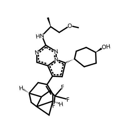 COC[C@H](C)Nc1ncc2c(C3=C[C@H]4CC45C[C@@H](C3)C5CC(F)(F)F)cc([C@H]3CC[C@H](O)CC3)n2n1